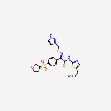 COCc1cnc(NC(=O)/C(=N/OCc2cc[nH]n2)c2ccc(S(=O)(=O)[C@H]3CCOC3)cc2)s1